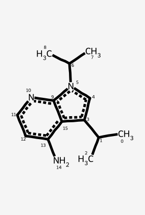 CC(C)c1cn(C(C)C)c2nccc(N)c12